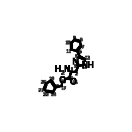 N[C@@H](Cc1nc(-c2ccccc2)c[nH]1)C(=O)OCc1ccccc1